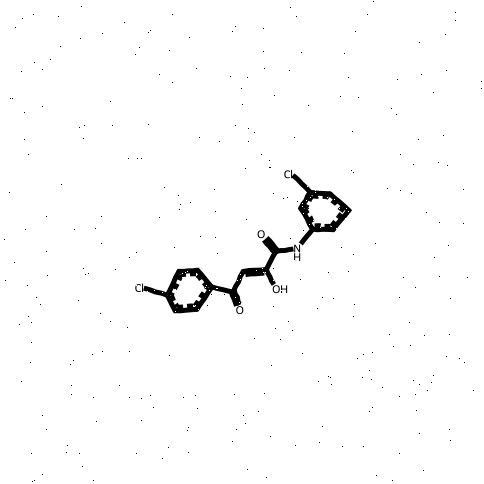 O=C(Nc1cccc(Cl)c1)/C(O)=C/C(=O)c1ccc(Cl)cc1